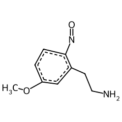 COc1ccc(N=O)c(CCN)c1